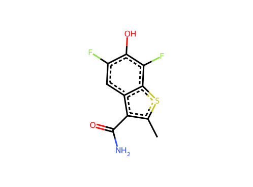 Cc1sc2c(F)c(O)c(F)cc2c1C(N)=O